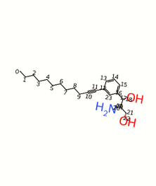 CCCCCCCCCCC#Cc1cccc(C(O)[C@@H](N)CO)c1